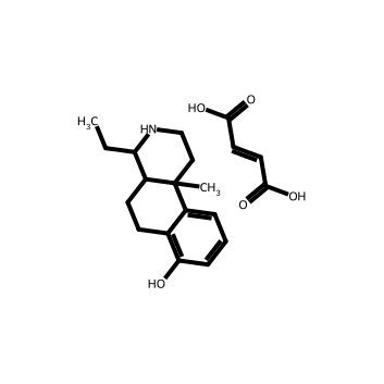 CCC1NCCC2(C)c3cccc(O)c3CCC12.O=C(O)C=CC(=O)O